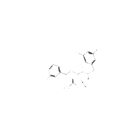 CC(C)(C[C@H](Cc1cc(F)cc(F)c1)[C@@H](O)CNCc1cccc(C(F)(F)F)c1)OC(N)=O